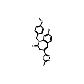 COc1ccc(CN2C(=O)CC(c3nnc(C)o3)=Cc3ccc(Br)cc32)cc1